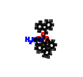 NC(=O)CC[C@H](NC(=O)OCC1c2ccccc2-c2ccccc21)C(=O)C(c1ccccc1)(c1ccccc1)c1ccccc1